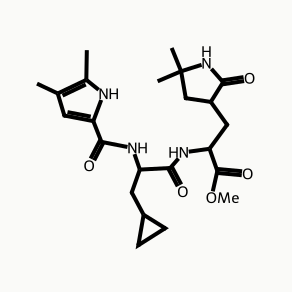 COC(=O)C(CC1CC(C)(C)NC1=O)NC(=O)C(CC1CC1)NC(=O)c1cc(C)c(C)[nH]1